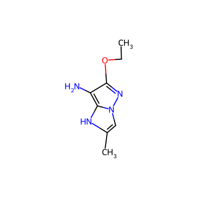 CCOc1nn2cc(C)[nH]c2c1N